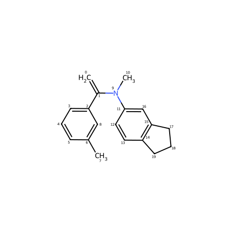 C=C(c1cccc(C)c1)N(C)c1ccc2c(c1)CCC2